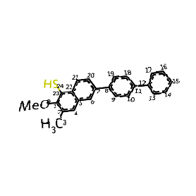 COc1c(C)cc2cc(-c3ccc(-c4ccccc4)cc3)ccc2c1S